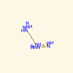 C/N=C(/NC#N)NCCCCCCCCCCN/C(=N\CCSCc1nc[nH]c1C)NC#N